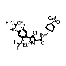 CCn1nc(C(=O)NC[C@H]2CC[C@H](S(C)(=O)=O)CC2)c(Cl)c1-c1cnc(NC(C(F)(F)F)C(F)(F)F)cc1OC(F)F